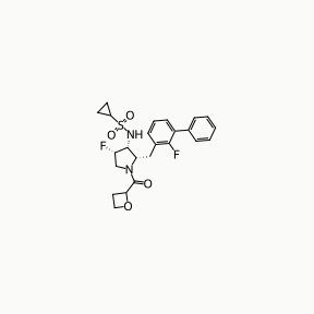 O=C(C1CCO1)N1C[C@H](F)[C@H](NS(=O)(=O)C2CC2)[C@@H]1Cc1cccc(-c2ccccc2)c1F